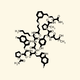 C[C@@H](O)CC(=O)N[C@@H](Cc1ccc(O)cc1)C(=O)N1CCC[C@@]1(C)C(=O)N[C@@H](CSCc1cccc(CSCCC(=O)N[C@@H](CCCCN)C(=O)NCC(=O)N[C@@H](Cc2c[nH]c3ccc(F)cc23)C(=O)N[C@@H](Cc2c[nH]c3ccc(F)cc23)C(=O)N2CCC[C@H]2C(N)=O)c1)C(N)=O